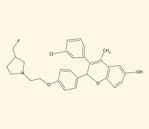 CC1=C(c2cccc(Cl)c2)C(c2ccc(OCCN3CCC(CF)C3)cc2)Oc2ccc(O)cc21